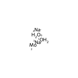 O.O.[Mo].[Na].[Na]